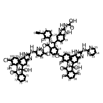 C#Cc1cccc(N2C(=O)c3ccccc3C2c2ccc3[nH]c(NC(=O)O)nc3c2)c1F.O=C1c2c(F)ccc(F)c2C(O)(c2ccc3[nH]c(Nc4ncccn4)nc3c2)N1c1cccc(Cl)c1F.O=C1c2ccccc2C(O)(c2ccc3[nH]c(Nc4ccc(Cl)nn4)nc3c2)N1c1cccc(Cl)c1F